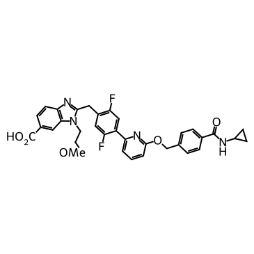 COCCn1c(Cc2cc(F)c(-c3cccc(OCc4ccc(C(=O)NC5CC5)cc4)n3)cc2F)nc2ccc(C(=O)O)cc21